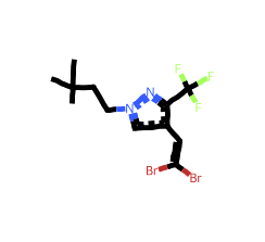 CC(C)(C)CCn1cc(C=C(Br)Br)c(C(F)(F)F)n1